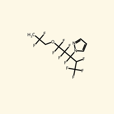 CC(F)(F)COC(F)(F)C(F)(F)C(F)(C(F)C(F)(F)F)n1cccn1